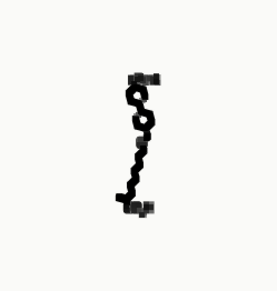 C=C(CCCCCCCOC[C@H]1CC[C@H]([C@H]2CC[C@H](CCCCC)CC2)CC1)C(=O)O